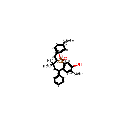 CCCCC1(CC)CC(c2ccccc2)c2cc(SC)c(O)cc2S(=O)(=O)C1Cc1ccc(OC)cc1